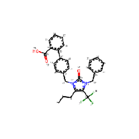 CCCc1c(C(F)(F)F)n(Cc2ccccc2)c(=O)n1Cc1ccc(-c2ccccc2C(=O)O)cc1